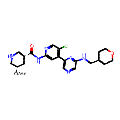 CO[C@@H]1CNC[C@H](C(=O)Nc2cc(-c3cncc(NCC4CCOCC4)n3)c(Cl)cn2)C1